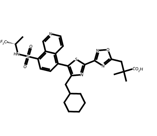 C[C@H](NS(=O)(=O)c1ccc(-c2sc(-c3noc(CC(C)(C)C(=O)O)n3)nc2CC2CCCCC2)c2ccncc12)C(F)(F)F